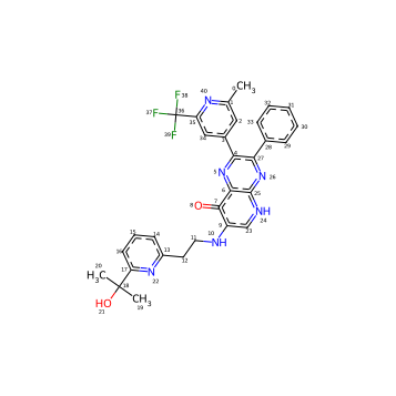 Cc1cc(-c2nc3c(=O)c(NCCc4cccc(C(C)(C)O)n4)c[nH]c3nc2-c2ccccc2)cc(C(F)(F)F)n1